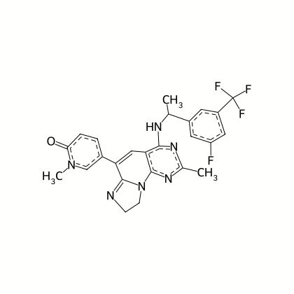 Cc1nc(NC(C)c2cc(F)cc(C(F)(F)F)c2)c2c(n1)N1CCN=C1C(c1ccc(=O)n(C)c1)=C2